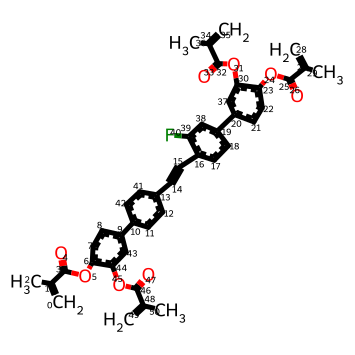 C=C(C)C(=O)Oc1ccc(-c2ccc(C#Cc3ccc(-c4ccc(OC(=O)C(=C)C)c(OC(=O)C(=C)C)c4)cc3F)cc2)cc1OC(=O)C(=C)C